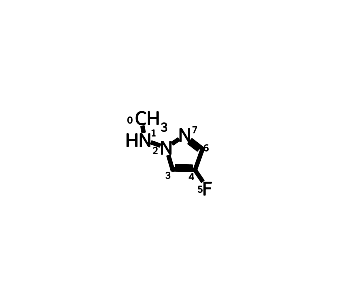 CNn1cc(F)cn1